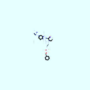 Cc1cc(-n2ccnc2)cc2[nH]c(-c3c(NCCNC(=O)OCc4ccccc4)cc[nH]c3=O)nc12